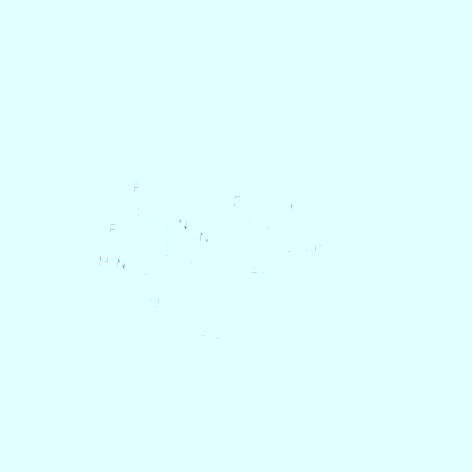 Cn1nc(C(F)F)c(C(N)=O)c1-c1ccccc1-c1cc(F)c(F)c(F)c1